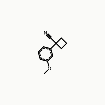 COc1cccc(C2(C#N)CCC2)c1